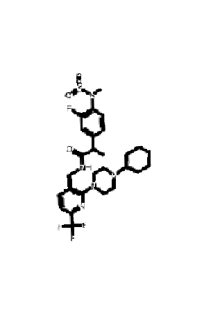 CC(C(=O)NCc1ccc(C(F)(F)F)nc1N1CCN(C2CCCCC2)CC1)c1ccc(N(C)[SH](=O)=O)c(F)c1